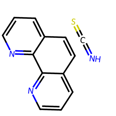 N=C=S.c1cnc2c(c1)ccc1cccnc12